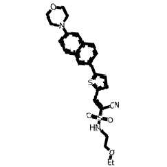 CCOCCNS(=O)(=O)/C(C#N)=C/c1ccc(-c2ccc3cc(N4CCOCC4)ccc3c2)s1